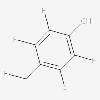 Cc1c(F)c(F)c(CF)c(F)c1F